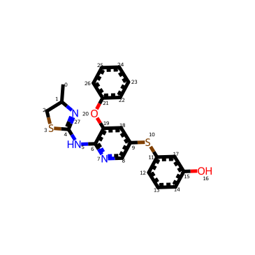 CC1CSC(Nc2ncc(Sc3cccc(O)c3)cc2Oc2ccccc2)=N1